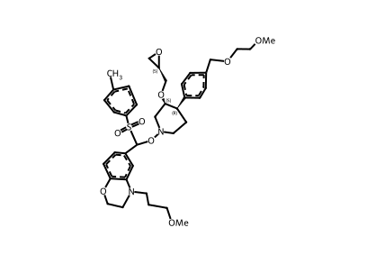 COCCCN1CCOc2ccc(C(ON3CC[C@H](c4ccc(COCCOC)cc4)[C@H](OC[C@H]4CO4)C3)S(=O)(=O)c3ccc(C)cc3)cc21